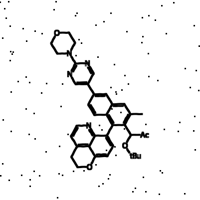 CC(=O)C(OC(C)(C)C)c1c(C)cc2cc(-c3cnc(N4CCOCC4)nc3)ccc2c1-c1ccc2c3c(ccnc13)CCO2